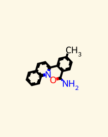 Cc1ccc(C(N)=O)c(-c2ccc3ccccc3n2)c1